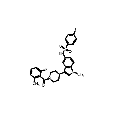 Cc1cccc(F)c1C(=O)N1CCC(c2cn(C)c3ccc(NS(=O)(=O)c4ccc(F)cc4)cc23)CC1